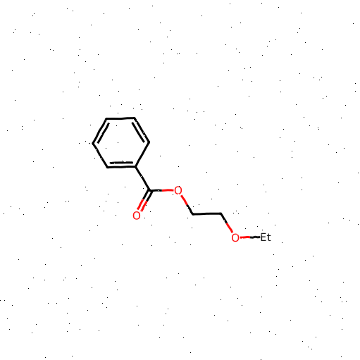 CCOCCOC(=O)c1c[c]ccc1